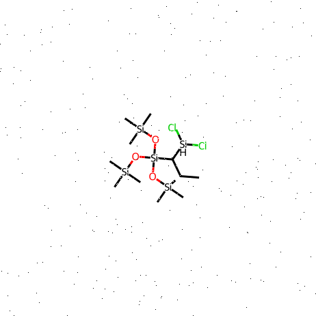 CCC([SiH](Cl)Cl)[Si](O[Si](C)(C)C)(O[Si](C)(C)C)O[Si](C)(C)C